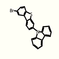 Brc1ccc2sc3cc(-n4c5ccccc5c5ccccc54)ccc3c2c1